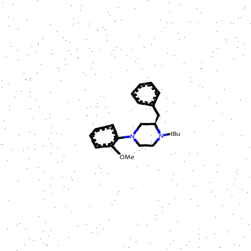 COc1ccccc1N1CCN(C(C)(C)C)[C@H](Cc2ccccc2)C1